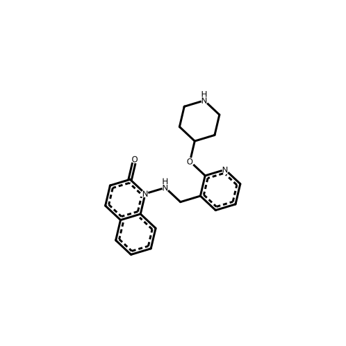 O=c1ccc2ccccc2n1NCc1cccnc1OC1CCNCC1